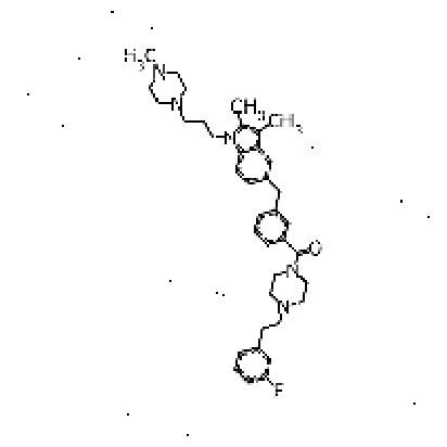 Cc1c(C)n(CCCN2CCN(C)CC2)c2ccc(Cc3cccc(C(=O)N4CCN(CCc5cccc(F)c5)CC4)c3)cc12